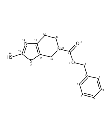 O=C(OCc1ccccc1)N1CCc2nc(S)sc2C1